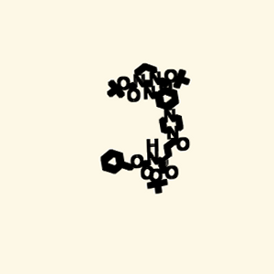 CC(C)(C)OC(=O)[C@H](CCC(=O)N1CCN(c2cccc(N=C3N(C(=O)OC(C)(C)C)CCCN3C(=O)OC(C)(C)C)c2)CC1)NC(=O)OCc1ccccc1